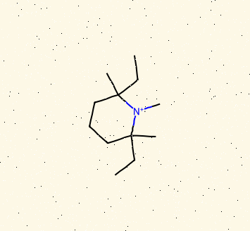 CCC1(C)CCCC(C)(CC)[N+]1C